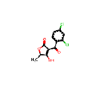 CC1OC(=O)C(C(=O)c2ccc(Cl)cc2Cl)=C1O